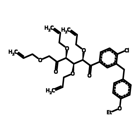 C=CCOCC(=O)[C@@H](OCC=C)[C@H](OCC=C)[C@@H](OCC=C)C(=O)c1ccc(Cl)c(Cc2ccc(OCC)cc2)c1